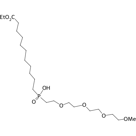 CCOC(=O)CCCCCCCCCCP(=O)(O)CCOCCOCCOCCOC